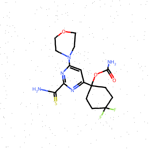 NC(=O)OC1(c2cc(N3CCOCC3)nc(C(N)=S)n2)CCC(F)(F)CC1